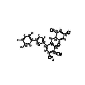 Cc1cc(C)c(-c2ccc(-c3cc(C(F)(F)F)c(C#N)c(=O)n3Cc3ccc(Cl)cc3Cl)s2)cc1C